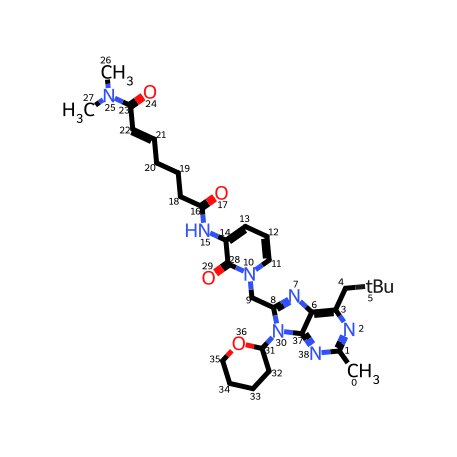 Cc1nc(CC(C)(C)C)c2nc(Cn3cccc(NC(=O)CCC/C=C/C(=O)N(C)C)c3=O)n(C3CCCCO3)c2n1